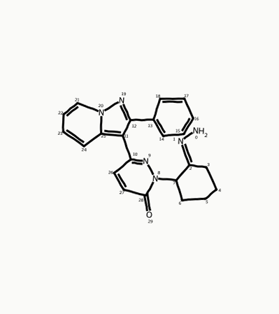 NN=C1CCCCC1n1nc(-c2c(-c3ccccc3)nn3ccccc23)ccc1=O